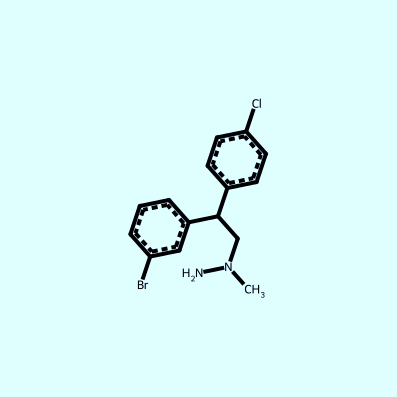 CN(N)CC(c1ccc(Cl)cc1)c1cccc(Br)c1